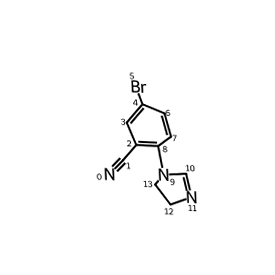 N#Cc1cc(Br)ccc1N1C=NCC1